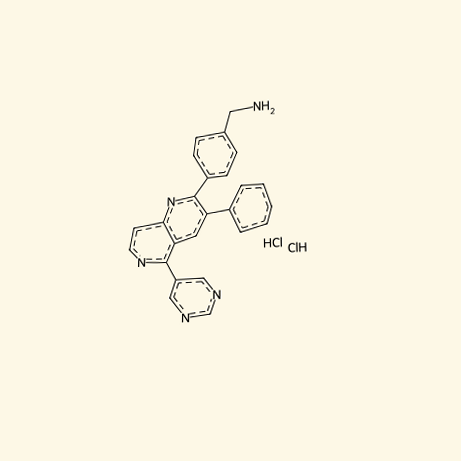 Cl.Cl.NCc1ccc(-c2nc3ccnc(-c4cncnc4)c3cc2-c2ccccc2)cc1